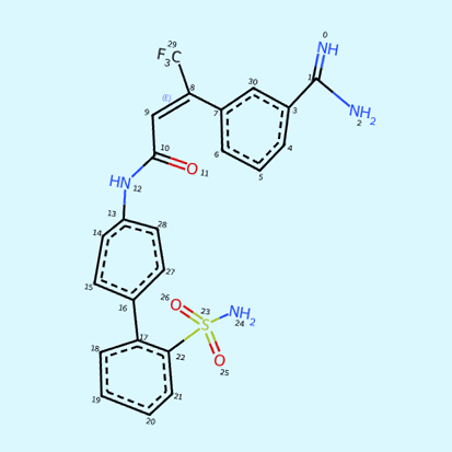 N=C(N)c1cccc(/C(=C\C(=O)Nc2ccc(-c3ccccc3S(N)(=O)=O)cc2)C(F)(F)F)c1